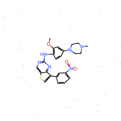 COc1cc(N2CCN(C)CC2)ccc1Nc1ncc2scc(-c3cccc([N+](=O)[O-])c3)c2n1